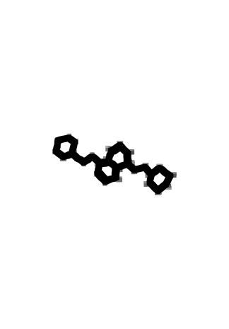 c1cc(CCC2CCCCC2)c2cccc(CCC3CCCCC3)c2c1